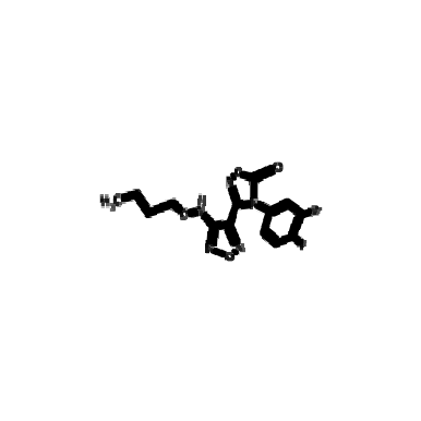 CCCCONc1nonc1-c1noc(=O)n1-c1ccc(F)c(Br)c1